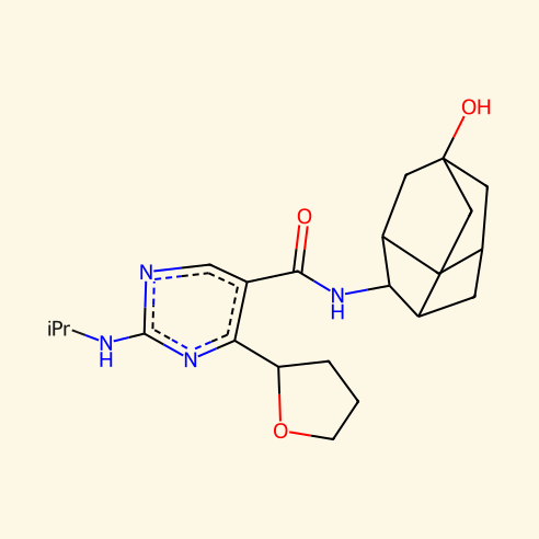 CC(C)Nc1ncc(C(=O)NC2C3CC4CC2CC(O)(C4)C3)c(C2CCCO2)n1